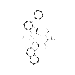 CCCCCC.C[SiH2][Ti+2]([CH]1C=Cc2c1ccc1ccccc21)[CH]1C(C)=Cc2c(-c3ccccc3)cccc21.[Cl-].[Cl-]